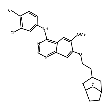 COc1cc2c(Nc3ccc(Cl)c(Cl)c3)ncnc2cc1OCCC1CC2CCC(C1)N2